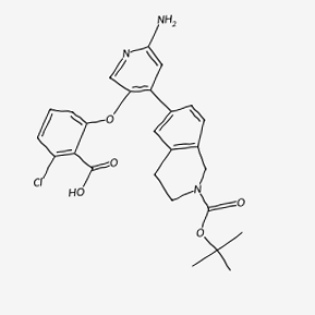 CC(C)(C)OC(=O)N1CCc2cc(-c3cc(N)ncc3Oc3cccc(Cl)c3C(=O)O)ccc2C1